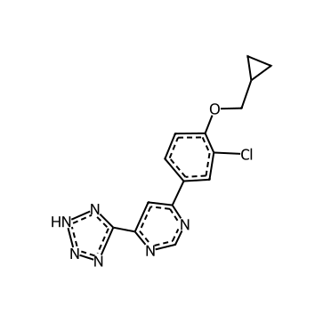 Clc1cc(-c2cc(-c3nn[nH]n3)ncn2)ccc1OCC1CC1